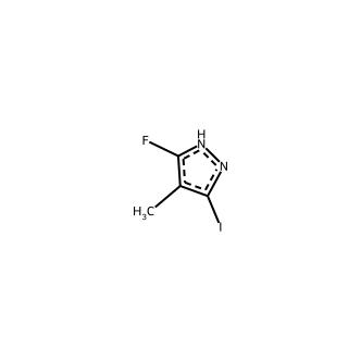 Cc1c(I)n[nH]c1F